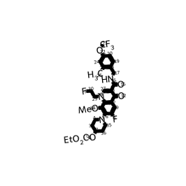 CCOC(=O)OC1CCN(c2c(F)cc3c(=O)c(C(=O)NCc4ccc(OC(F)(F)F)cc4C)cn(CCF)c3c2OC)CC1